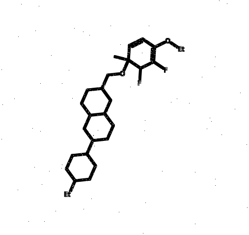 CCOC1=C(F)C(F)C(C)(OCC2CCC3CC(C4CCC(CC)CC4)CCC3C2)C=C1